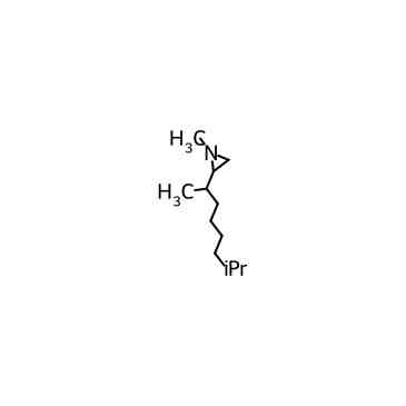 CC(C)CCCCC(C)C1CN1C